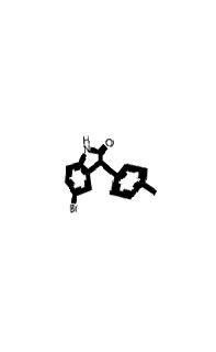 Cc1ccc(C2C(=O)Nc3ccc(Br)cc32)cc1